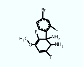 COC1=C(F)C(N)(c2ccc(Br)cc2F)C(N)C(F)=C1